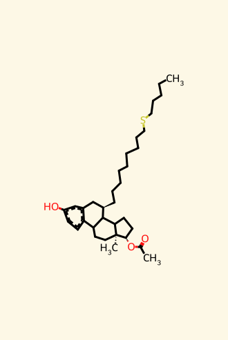 CCCCCSCCCCCCCCC[C@@H]1Cc2cc(O)ccc2C2CC[C@@]3(C)C(CC[C@@H]3OC(C)=O)C21